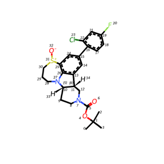 CC(C)(C)OC(=O)N1CC[C@H]2[C@@H](C1)c1cc(-c3ccc(F)cc3Cl)cc3c1N2CCC[S+]3[O-]